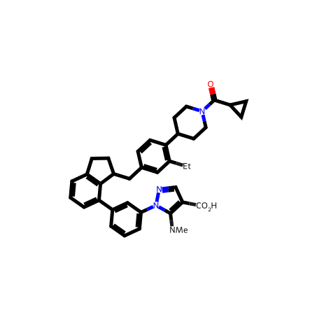 CCc1cc(CC2CCc3cccc(-c4cccc(-n5ncc(C(=O)O)c5NC)c4)c32)ccc1C1CCN(C(=O)C2CC2)CC1